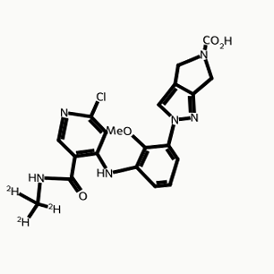 [2H]C([2H])([2H])NC(=O)c1cnc(Cl)cc1Nc1cccc(-n2cc3c(n2)CN(C(=O)O)C3)c1OC